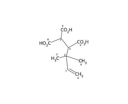 C=CC(C)(C)C(C(=O)O)C(C(=O)O)C(=O)O